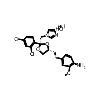 COc1cc(SC[C@@H]2CO[C@@](Cn3ccnc3)(c3ccc(Cl)cc3Cl)O2)ccc1N.Cl.Cl